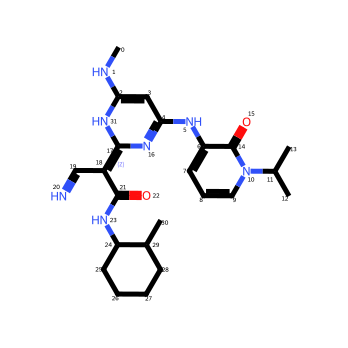 CNC1=CC(Nc2cccn(C(C)C)c2=O)=N/C(=C(/C=N)C(=O)NC2CCCCC2C)N1